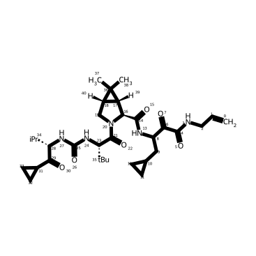 C=CCNC(=O)C(=O)C(CC1CC1)NC(=O)[C@@H]1[C@@H]2[C@H](CN1C(=O)[C@@H](NC(=O)N[C@H](C(=O)C1CC1)C(C)C)C(C)(C)C)C2(C)C